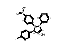 Cl.O=[N+]([O-])c1ccc(N2N(c3ccccc3)C=NN2c2ccc(I)cc2)cc1